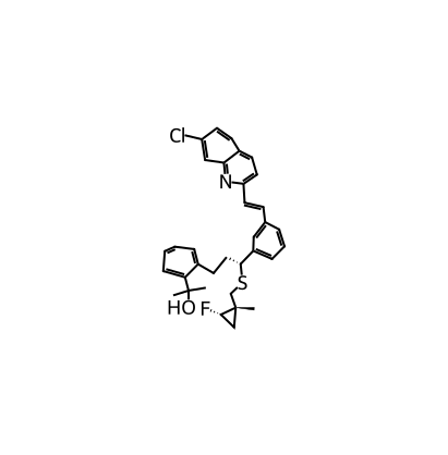 CC(C)(O)c1ccccc1CC[C@@H](SC[C@]1(C)C[C@@H]1F)c1cccc(/C=C/c2ccc3ccc(Cl)cc3n2)c1